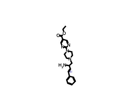 CCOC(=O)c1cnc(N2CCN(CC(N)/C=C/c3ccccc3)CC2)nc1